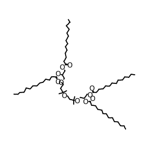 CCCCCCCCCCCCCC(=O)OCC(COCCC(C)(C)OCCC(C)(C)OCC(COC(=O)CCCCCCCCCCCCC)OC(=O)CCCCCCCCCCCCC)OC(=O)CCCCCCCCCCCCC